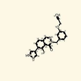 C#CCOc1cccc(Cn2ncc3ccc(-c4cn[nH]c4)c(F)c3c2=O)c1